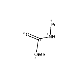 COC(=O)NC(C)C